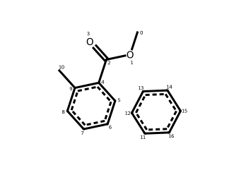 COC(=O)c1ccccc1C.c1ccccc1